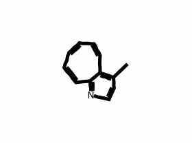 Cc1ccnc2c1\C=C/C=C\C=C/2